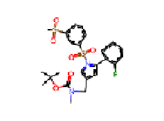 CN(Cc1cc(-c2ccccc2F)n(S(=O)(=O)c2cccc(S(C)(=O)=O)c2)c1)C(=O)OC(C)(C)C